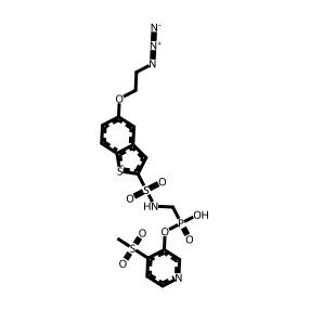 CS(=O)(=O)c1ccncc1OP(=O)(O)CNS(=O)(=O)c1cc2cc(OCCN=[N+]=[N-])ccc2s1